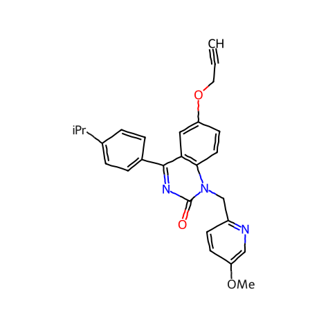 C#CCOc1ccc2c(c1)c(-c1ccc(C(C)C)cc1)nc(=O)n2Cc1ccc(OC)cn1